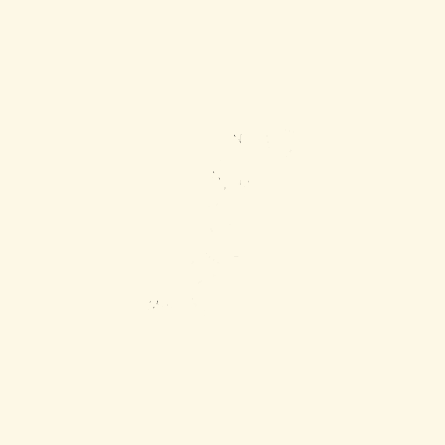 COC(=O)c1ccc(-c2ccc3c(c2)CCN(C2CCN(Cc4ccccc4)C2)C3=O)c(F)c1